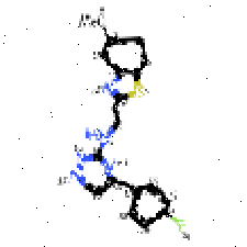 COc1ccc2sc(CNc3nncc(-c4ccc(F)cc4)n3)nc2c1